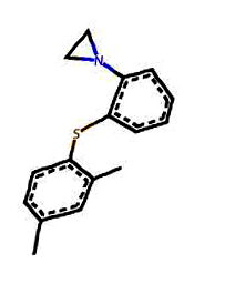 Cc1ccc(Sc2ccccc2N2CC2)c(C)c1